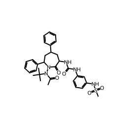 CC(=O)N(N1C(=O)C(NC(=O)Nc2cccc(NS(C)(=O)=O)c2)CC(c2ccccc2)CC1c1ccccc1)C(C)(C)C